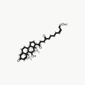 CCCCCCCCCCC/C=C\CCCCC(=O)CCC(=O)C1CCC2C3CCC4=CC(=O)C=CC4(C)C3C(O)CC12C